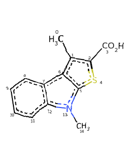 Cc1c(C(=O)O)sc2c1c1ccccc1n2C